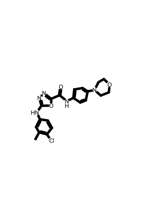 Cc1cc(Nc2nnc(C(=O)Nc3ccc(N4CCOCC4)cc3)o2)ccc1Cl